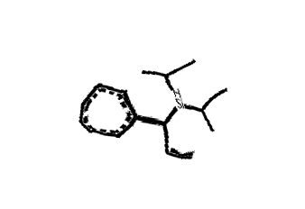 C=CC(c1ccccc1)[SiH](C(C)C)C(C)C